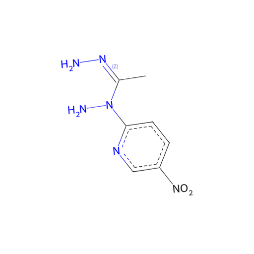 C/C(=N/N)N(N)c1ccc([N+](=O)[O-])cn1